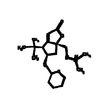 C[SiH](C)OC[C@]12C[C@@H](OC3CCCCO3)[C@@H](C(C)(C)C)C1=CC(=O)O2